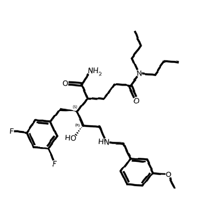 CCCN(CCC)C(=O)CCC(C(N)=O)[C@H](Cc1cc(F)cc(F)c1)[C@@H](O)CNCc1cccc(OC)c1